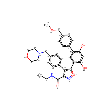 CCNC(=O)c1noc(-c2cc(-c3ccc(COC)cc3)c(O)cc2O)c1-c1ccc(CN2CCOCC2)cc1